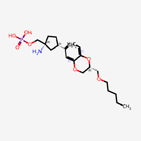 C=C(/C=C1/OC[C@@H](COCCCCC)O/C1=C/C)[C@H]1CC[C@](N)(COP(=O)(O)O)C1